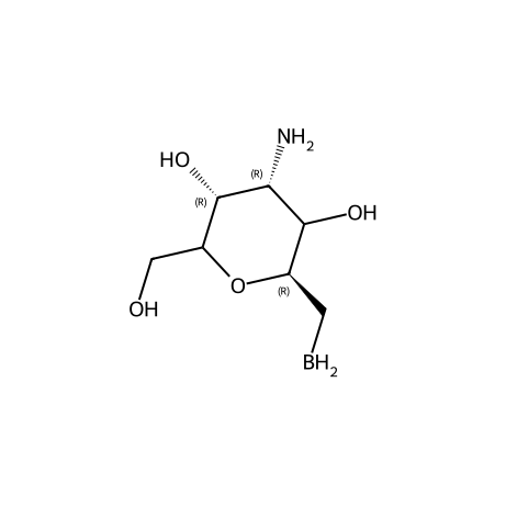 BC[C@H]1OC(CO)[C@H](O)[C@H](N)C1O